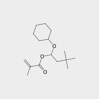 C=C(C)C(=O)OC(CC(C)(C)C)OC1CCCCC1